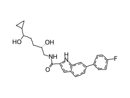 O=C(NC[C@@H](O)CCC(O)C1CC1)c1cc2ccc(-c3ccc(F)cc3)cc2[nH]1